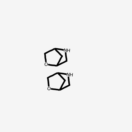 C1OC2CNC1C2.C1OC2CNC1C2